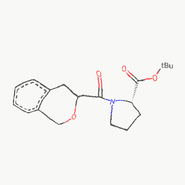 CC(C)(C)OC(=O)[C@@H]1CCCN1C(=O)C1Cc2ccccc2CO1